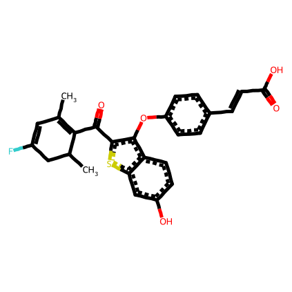 CC1=C(C(=O)c2sc3cc(O)ccc3c2Oc2ccc(/C=C/C(=O)O)cc2)C(C)CC(F)=C1